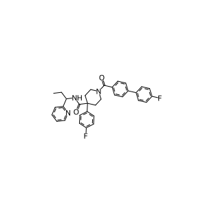 CCC(NC(=O)C1(c2ccc(F)cc2)CCN(C(=O)c2ccc(-c3ccc(F)cc3)cc2)CC1)c1ccccn1